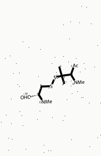 CNC(C(C)=O)C(C)(C)SSC[C@@H](C=O)NC